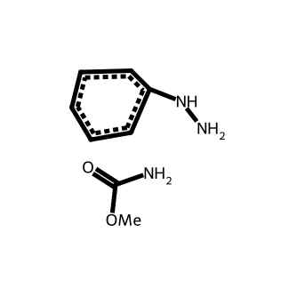 COC(N)=O.NNc1ccccc1